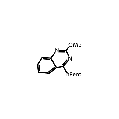 CCCCCc1nc(OC)nc2ccccc12